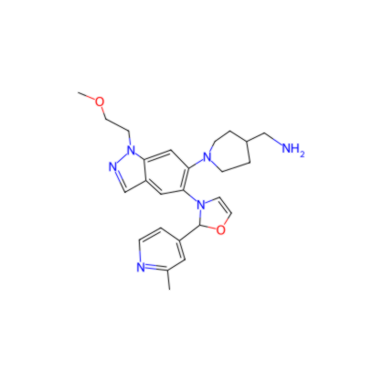 COCCn1ncc2cc(N3C=COC3c3ccnc(C)c3)c(N3CCC(CN)CC3)cc21